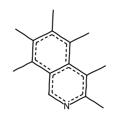 Cc1ncc2c(C)c(C)c(C)c(C)c2c1C